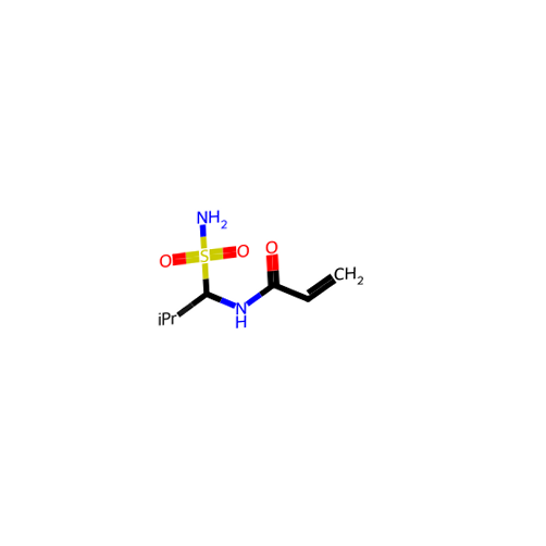 C=CC(=O)NC(C(C)C)S(N)(=O)=O